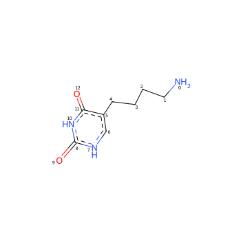 NCCCCc1c[nH]c(=O)[nH]c1=O